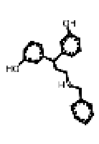 Oc1cccc(C(CCNCc2ccccc2)c2cccc(O)c2)c1